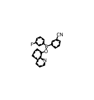 N#Cc1cccc(B(Oc2cccc3cccnc23)c2cccc(F)c2)c1